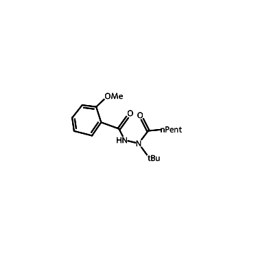 CCCCCC(=O)N(NC(=O)c1ccccc1OC)C(C)(C)C